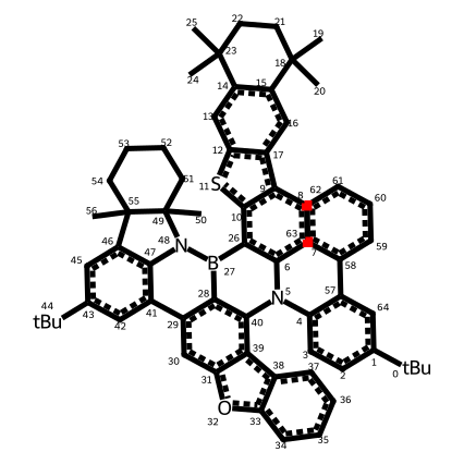 CC(C)(C)c1ccc(N2c3ccc4c(sc5cc6c(cc54)C(C)(C)CCC6(C)C)c3B3c4c(cc5oc6ccccc6c5c42)-c2cc(C(C)(C)C)cc4c2N3C2(C)CCCCC42C)c(-c2ccccc2)c1